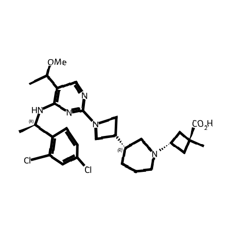 COC(C)c1cnc(N2CC([C@H]3CCCN([C@H]4C[C@](C)(C(=O)O)C4)C3)C2)nc1N[C@H](C)c1ccc(Cl)cc1Cl